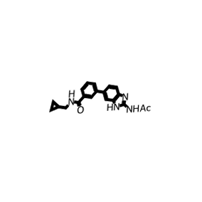 CC(=O)Nc1nc2ccc(-c3cccc(C(=O)NCC4CC4)c3)cc2[nH]1